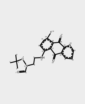 CC(C)(C)ON(C=O)CCNc1ccc(F)c2c1C(=O)c1cccnc1C2=O